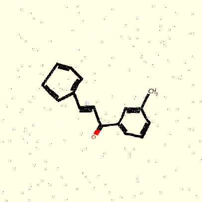 Cc1cccc(C(=O)/C=C/c2ccccc2)c1